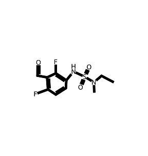 CCN(C)S(=O)(=O)Nc1ccc(F)c(C=O)c1F